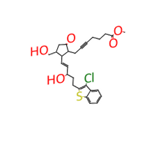 COC(=O)CCCC#CCC1C(=O)CC(CO)C1C=CC(O)CCc1sc2ccccc2c1Cl